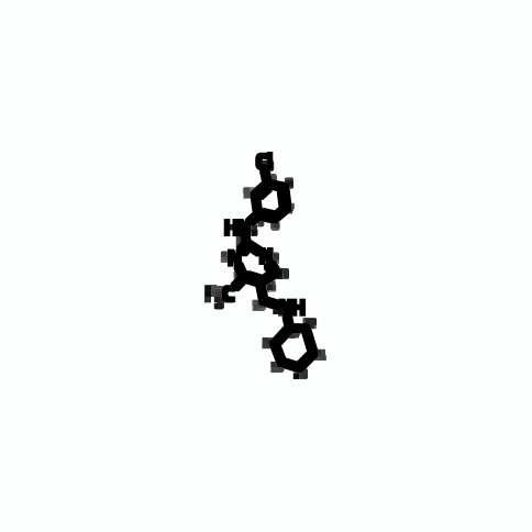 FC(F)(F)c1nc(Nc2cccc(Cl)c2)ncc1CNC1CCCCC1